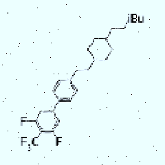 CCC(C)CCC1CCC(CCc2ccc(-c3cc(F)c(C(F)(F)F)c(F)c3)cc2)CC1